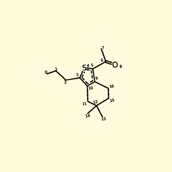 CCCc1sc(C(C)=O)c2c1CC(C)(C)CC2